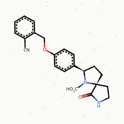 N#Cc1ccccc1COc1ccc([C@H]2CC[C@]3(CCNC3=O)N2C(=O)O)cc1